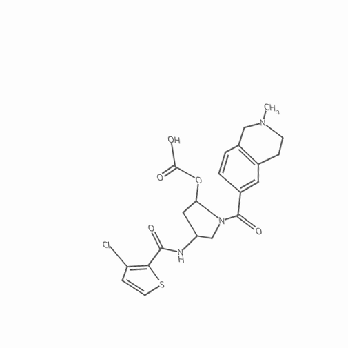 CN1CCc2cc(C(=O)N3CC(NC(=O)c4sccc4Cl)CC3OC(=O)O)ccc2C1